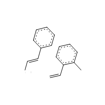 C=Cc1ccccc1C.CCCCC=Cc1ccccc1